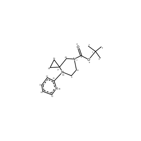 CC(C)(C)OC(=O)N1CCN(c2ccccn2)C2(CC2)C1